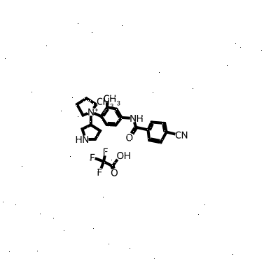 Cc1cc(NC(=O)c2ccc(C#N)cc2)ccc1[N+]1(C2CCNC2)CCCC1C.O=C(O)C(F)(F)F